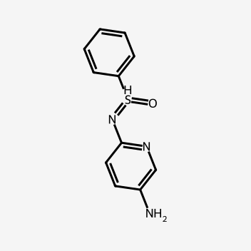 Nc1ccc(/N=[SH](=O)/c2ccccc2)nc1